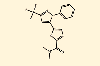 CN(C)C(=O)c1ccc(-c2cc(C(F)(F)F)nn2-c2ccccc2)s1